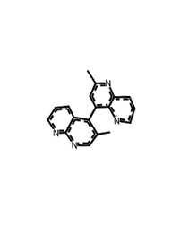 Cc1cc(-c2c(C)cnc3ncccc23)c2ncccc2n1